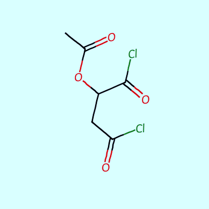 CC(=O)OC(CC(=O)Cl)C(=O)Cl